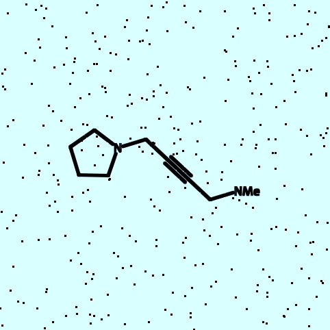 CNCC#CCN1CCCC1